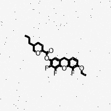 CCCC1CCC(C(=O)Oc2cc3c(c(F)c2F)Oc2c(ccc(OCC)c2F)C3)OC1